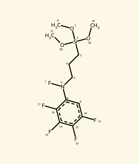 CO[Si](CCCN(F)c1cc(F)c(F)c(F)c1F)(OC)OC